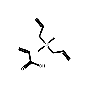 C=CC(=O)O.C=CC[N+](C)(C)CC=C